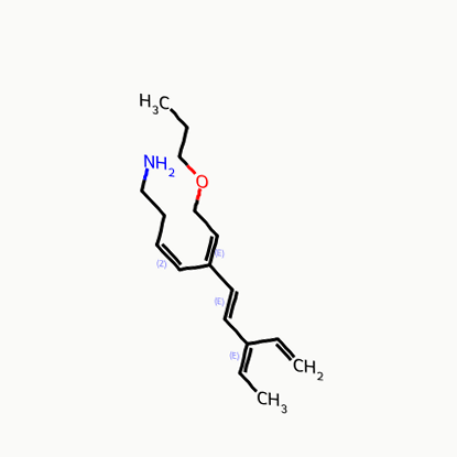 C=CC(/C=C/C(/C=C\CCN)=C/COCCC)=C\C